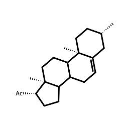 CC(=O)[C@H]1CCC2C3CC=C4C[C@@H](C)CC[C@]4(C)C3CC[C@@]21C